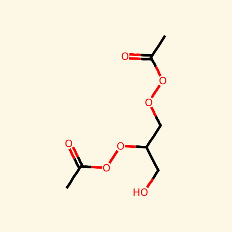 CC(=O)OOCC(CO)OOC(C)=O